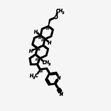 COC[C@H]1CC[C@@H]2C3CC[C@@]4(C)C(CCC4[C@H](C)Cc4ccc(C#N)nc4)[C@@H]3CC[C@@H]2C1